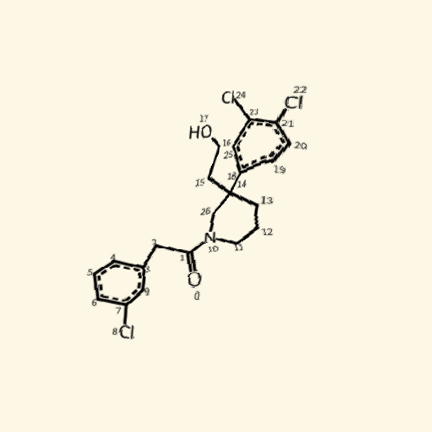 O=C(Cc1cccc(Cl)c1)N1CCCC(CCO)(c2ccc(Cl)c(Cl)c2)C1